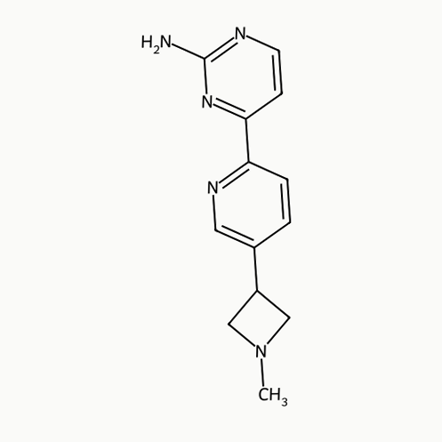 CN1CC(c2ccc(-c3ccnc(N)n3)nc2)C1